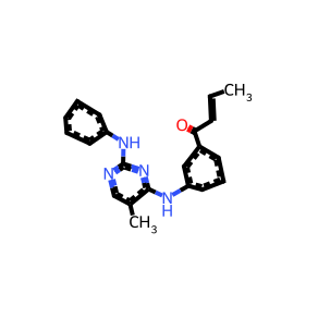 C/C=C/C(=O)c1cccc(Nc2nc(Nc3ccccc3)ncc2C)c1